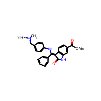 CCCCCCN(C)Cc1ccc(NC(=C2C(=O)Nc3cc(C(=O)OC)ccc32)c2ccccc2)cc1